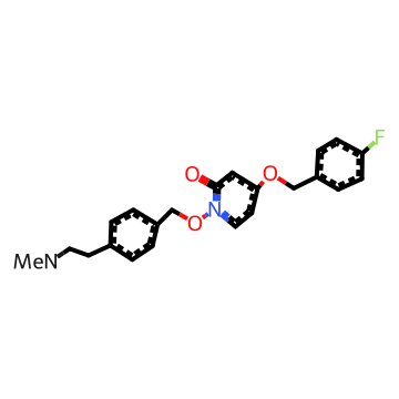 CNCCc1ccc(COn2ccc(OCc3ccc(F)cc3)cc2=O)cc1